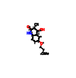 COCCOc1ccc2[nH]c(=O)c(C#N)c(O)c2c1